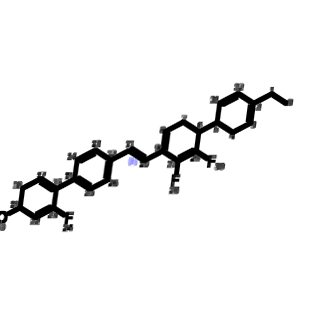 CCC1=CCC(C2CC=C(/C=C/c3ccc(C4=CCC(OC)C=C4F)cc3)C(F)=C2F)C=C1